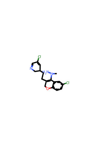 CN(N)C1=C(CCC2C=C(Cl)C=NC2)COc2ccc(Cl)cc21